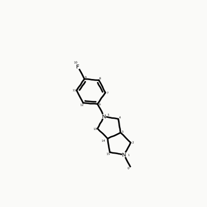 CN1CC2CN(c3ccc(F)cc3)CC2C1